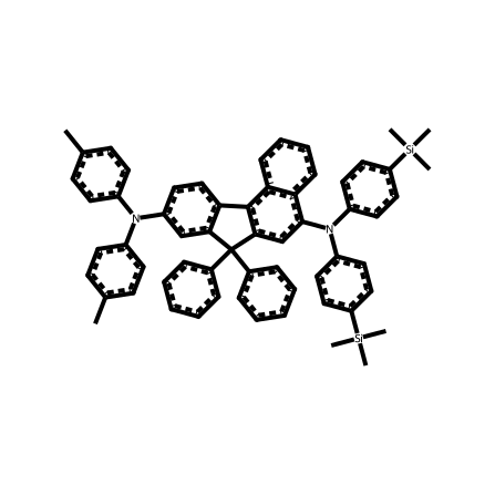 Cc1ccc(N(c2ccc(C)cc2)c2ccc3c(c2)C(c2ccccc2)(c2ccccc2)c2cc(N(c4ccc([Si](C)(C)C)cc4)c4ccc([Si](C)(C)C)cc4)c4ccccc4c2-3)cc1